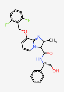 CC1N=C2C(OCc3c(F)cccc3F)=CC=CN2C1C(=O)N[C@@H](CO)c1ccccc1